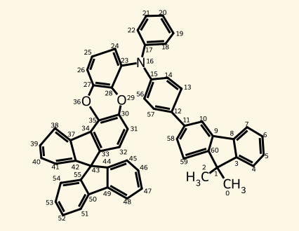 CC1(C)c2ccccc2-c2cc(-c3ccc(N(c4ccccc4)c4cccc5c4Oc4ccc6c(c4O5)-c4ccccc4C64c5ccccc5-c5ccccc54)cc3)ccc21